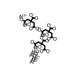 O=C([O-])CC(O)(CC(=O)[O-])C(=O)[O-].O=C([O-])CC(O)(CC(=O)[O-])C(=O)[O-].O=C([O-])CC(O)(CC(=O)[O-])C(=O)[O-].[Al+3].[Al+3].[Al+3].[Al+3].[OH-].[OH-].[OH-]